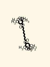 CC1(C)CCC(OC(=O)CCCCCCCCC(=O)OC2CCC(C)(C)N(O)C(C)(C)C2)CC(C)(C)N1O